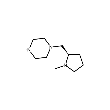 CN1CCC[C@@H]1CN1CC[N]CC1